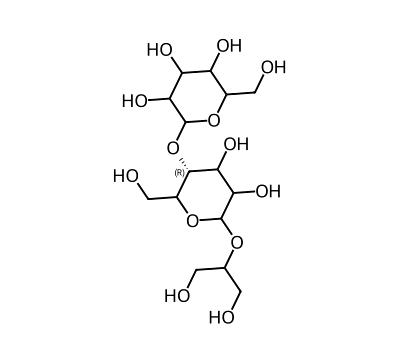 OCC(CO)OC1OC(CO)[C@H](OC2OC(CO)C(O)C(O)C2O)C(O)C1O